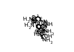 NCCC1(S(N)(=O)=O)CCCCN1c1ccc(S(=O)(=O)NC(CN)CO)c(S(N)(=O)=O)c1-c1nn[nH]n1